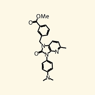 COC(=O)c1cccc(Cn2c(=O)n(-c3ccc(N(C)C)cc3)c3nc(C)ccc32)c1